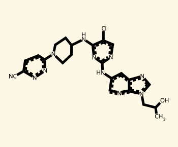 CC(O)Cn1cnc2cc(Nc3ncc(Cl)c(NC4CCN(c5ccc(C#N)nn5)CC4)n3)cnc21